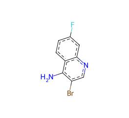 Nc1c(Br)cnc2cc(F)ccc12